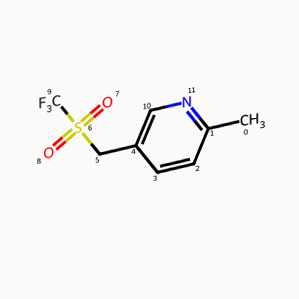 Cc1ccc(CS(=O)(=O)C(F)(F)F)cn1